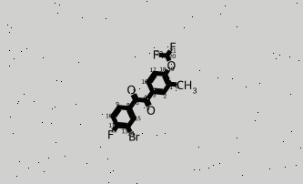 Cc1cc(C(=O)C(=O)c2ccc(F)c(Br)c2)ccc1OC(F)F